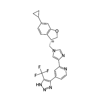 FC(F)(F)c1[nH]nnc1-c1ccnc(-c2cn(C[C@H]3COc4cc(C5CC5)ccc43)cn2)c1